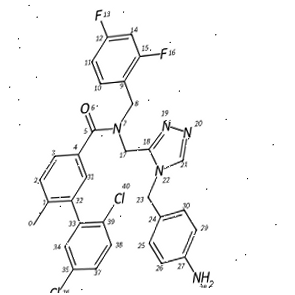 Cc1ccc(C(=O)N(Cc2ccc(F)cc2F)Cc2nncn2Cc2ccc(N)cc2)cc1-c1cc(Cl)ccc1Cl